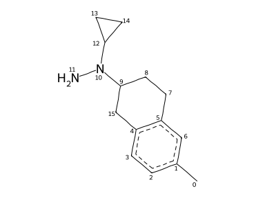 Cc1ccc2c(c1)CCC(N(N)C1CC1)C2